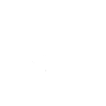 CC(=O)O[C@@H]1O[C@@]2(COCc3ccccc3)CC2[C@@H]1F